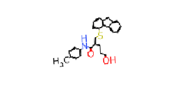 Cc1ccc(NC(=O)/C(=C/Sc2cccc3c2-c2ccccc2C3)CCCO)cc1